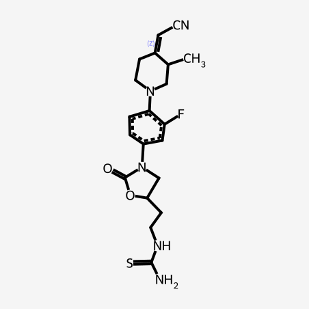 CC1CN(c2ccc(N3CC(CCNC(N)=S)OC3=O)cc2F)CC/C1=C/C#N